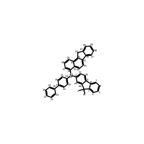 CC1(C)c2ccccc2-c2ccc(N(c3ccc(-c4ccccc4)cc3)c3cccc4c5c(ccc34)-c3ccccc3C5)cc21